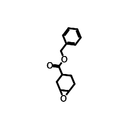 O=C(OCc1ccccc1)C1CCC2OC2C1